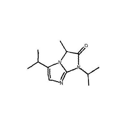 CC(C)c1cnc2n1C(C)C(=O)N2C(C)C